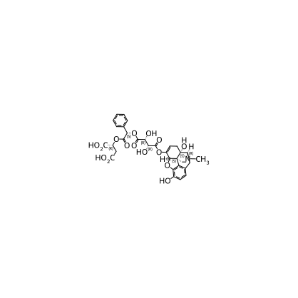 CN1CC[C@]23c4c5ccc(O)c4O[C@H]2C(OC(=O)[C@H](O)[C@@H](O)C(=O)O[C@H](C(=O)O[C@H](CC(=O)O)C(=O)O)c2ccccc2)=CC[C@@]3(O)[C@H]1C5